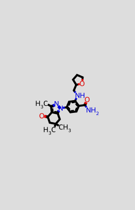 Cc1nn(-c2ccc(C(N)=O)c(NCC3CCCO3)c2)c2c1C(=O)CC(C)(C)C2